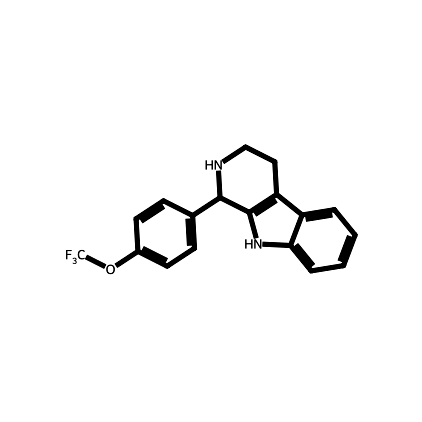 FC(F)(F)Oc1ccc(C2NCCc3c2[nH]c2ccccc32)cc1